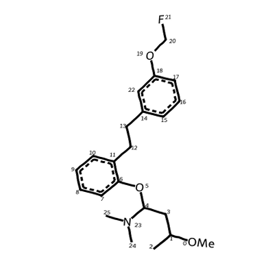 COC(C)CC(Oc1ccccc1CCc1cccc(OCF)c1)N(C)C